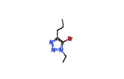 CCCc1nnn(CC)c1Br